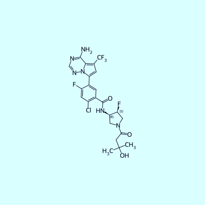 CC(C)(O)CC(=O)N1C[C@H](F)[C@H](NC(=O)c2cc(-c3cc(C(F)(F)F)c4c(N)ncnn34)c(F)cc2Cl)C1